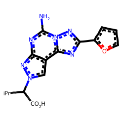 CC(C)C(C(=O)O)n1cc2c(nc(N)n3nc(-c4ccco4)nc23)n1